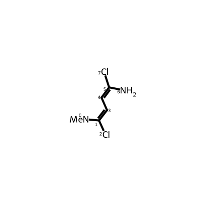 CN/C(Cl)=C\C=C(/N)Cl